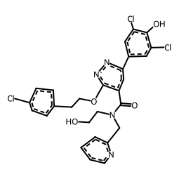 O=C(c1cc(-c2cc(Cl)c(O)c(Cl)c2)nnc1OCCc1ccc(Cl)cc1)N(CCO)Cc1ccccn1